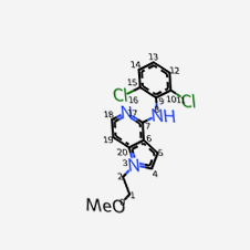 COCCn1ccc2c(Nc3c(Cl)cccc3Cl)nccc21